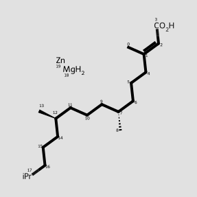 C/C(=C\C(=O)O)CCC[C@H](C)CCC[C@H](C)CCCC(C)C.[MgH2].[Zn]